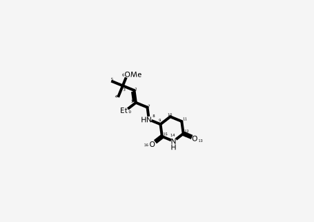 CC/C(=C\C(C)(C)OC)CNC1CCC(=O)NC1=O